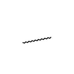 CCCCCCCCCCCCCCCCCCC